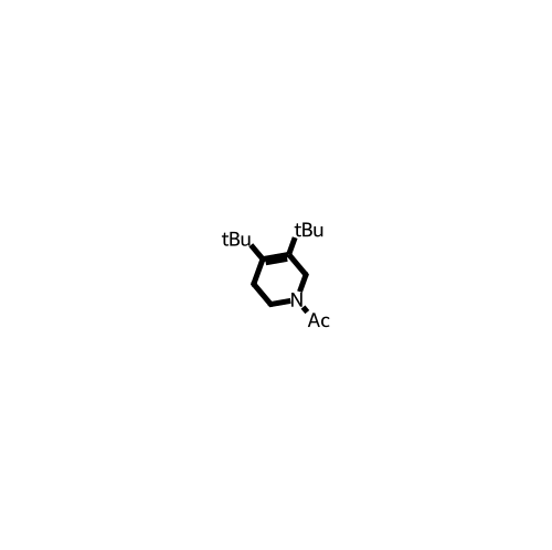 CC(=O)N1CCC(C(C)(C)C)=C(C(C)(C)C)C1